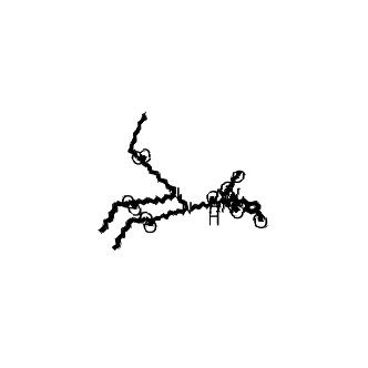 CCCCCC/C=C\COC(=O)CCCCCCCCN(CCCCCCCCC(=O)OC/C=C\CCCCCC)CCCN(CCCCCCCCC(=O)OC/C=C\CCCCCC)CCCCCC(=O)Nc1nc(OCCOC)nc2c1[nH]c(=O)n2Cc1ccc(C=O)cc1